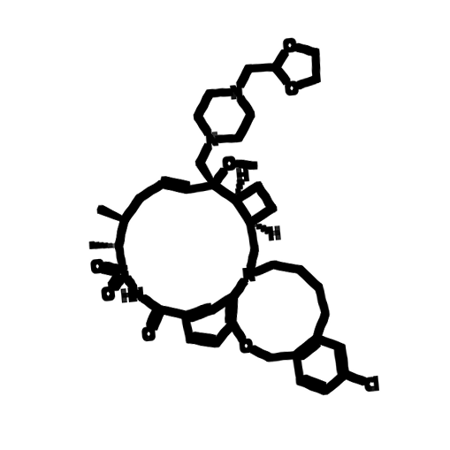 CO[C@@]1(CN2CCN(CC3OCCO3)CC2)/C=C/C[C@H](C)[C@@H](C)S(=O)(=O)NC(=O)c2ccc3c(c2)N(CCCCc2cc(Cl)ccc2CO3)C[C@@H]2CC[C@@H]21